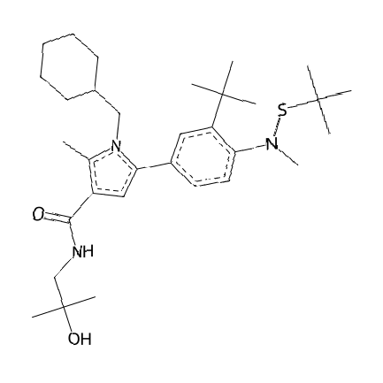 Cc1c(C(=O)NCC(C)(C)O)cc(-c2ccc(N(C)SC(C)(C)C)c(C(C)(C)C)c2)n1CC1CCCCC1